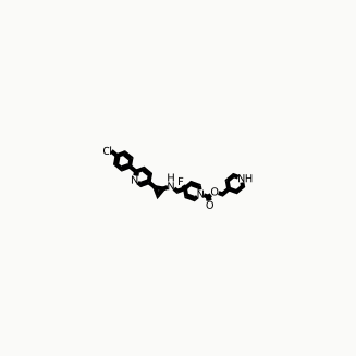 O=C(OCC1CCNCC1)N1C=CC(F)(CNC2CC2c2ccc(-c3ccc(Cl)cc3)nc2)C=C1